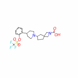 O=C(O)N1CC2(CCC(N3CCC(c4ccccc4OS(=O)(=O)C(F)(F)F)CC3)C2)C1